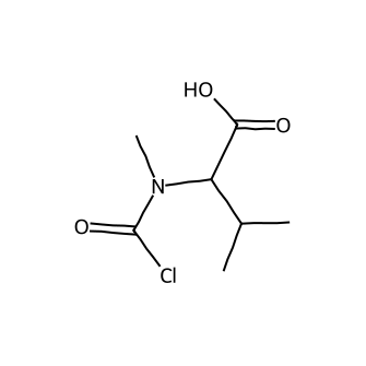 CC(C)C(C(=O)O)N(C)C(=O)Cl